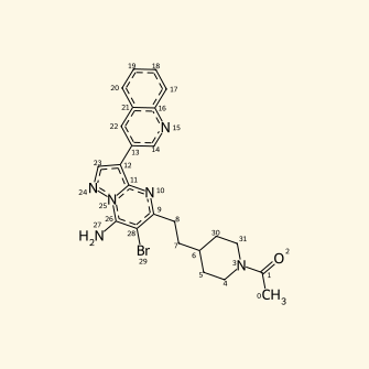 CC(=O)N1CCC(CCc2nc3c(-c4cnc5ccccc5c4)cnn3c(N)c2Br)CC1